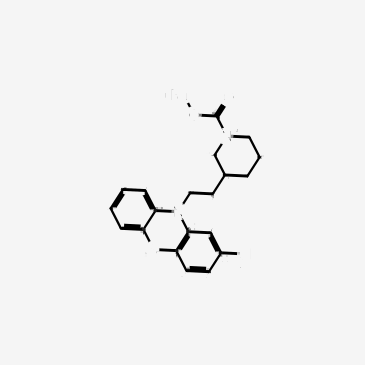 CC(C)(C)OC(=O)N1CCCC(CCN2c3ccccc3Sc3ccc(Cl)cc32)C1